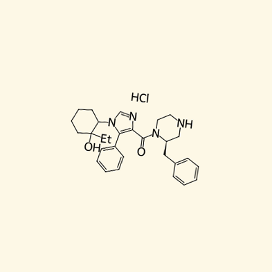 CCC1(O)CCCCC1n1cnc(C(=O)N2CCNC[C@H]2Cc2ccccc2)c1-c1ccccc1.Cl